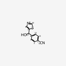 N#Cc1ccc(C(O)c2cncs2)cc1